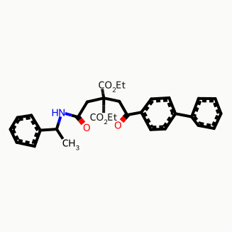 CCOC(=O)C(CC(=O)NC(C)c1ccccc1)(CC(=O)c1ccc(-c2ccccc2)cc1)C(=O)OCC